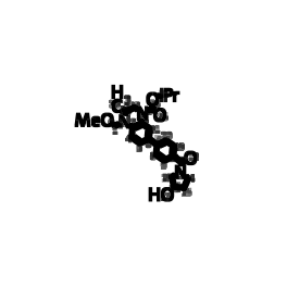 COCN1c2ccc(-c3ccc(C(=O)N4CC[C@@H](O)C4)cc3)cc2N(C(=O)OC(C)C)C[C@@H]1C